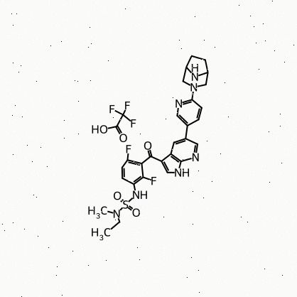 CCN(C)S(=O)(=O)Nc1ccc(F)c(C(=O)c2c[nH]c3ncc(-c4ccc(N5CC6CCC(C5)N6)nc4)cc23)c1F.O=C(O)C(F)(F)F